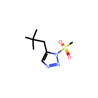 CC(C)(C)Cc1cnnn1S(C)(=O)=O